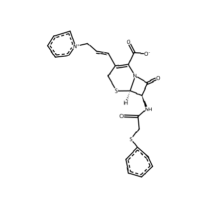 O=C(CSc1ccccc1)N[C@@H]1C(=O)N2C(C(=O)[O-])=C(/C=C/C[n+]3ccccc3)CS[C@H]12